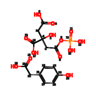 O=C(O)CC(O)(CC(=O)OP(=O)(O)O)C(=O)O.O=C(O)Cc1ccc(O)cc1